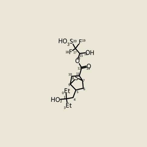 CCC(O)(CC)CC1CC2SC1CC2C(=O)OC(O)C(F)(F)S(=O)(=O)O